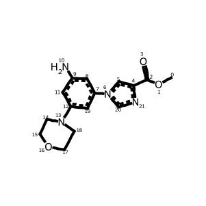 COC(=O)c1cn(-c2cc(N)cc(N3CCOCC3)c2)cn1